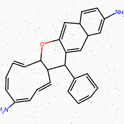 NC1=CC2C=C3C(=CC2C=C1)OC1/C=C/C=C\C(N)=C/C=C/C1C3c1ccccc1